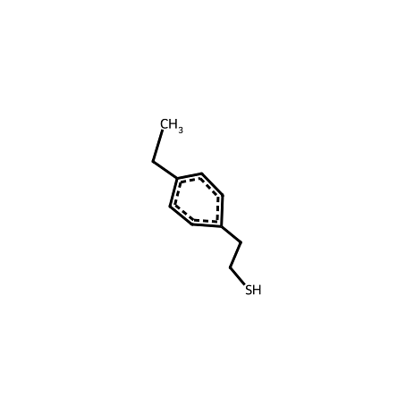 CCc1ccc(CCS)cc1